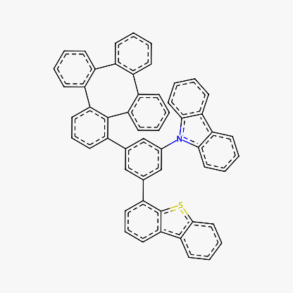 c1ccc2c(c1)-c1ccccc1-c1cccc(-c3cc(-c4cccc5c4sc4ccccc45)cc(-n4c5ccccc5c5ccccc54)c3)c1-c1ccccc1-2